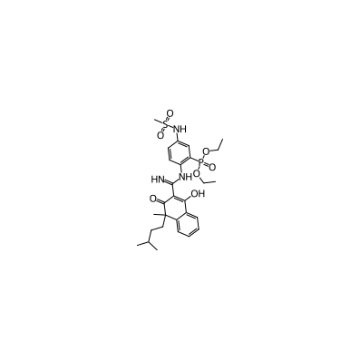 CCOP(=O)(OCC)c1cc(NS(C)(=O)=O)ccc1NC(=N)C1=C(O)c2ccccc2C(C)(CCC(C)C)C1=O